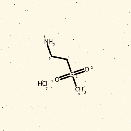 CS(=O)(=O)CCN.Cl